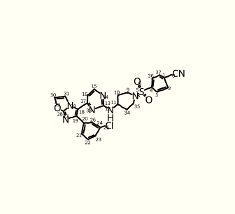 N#Cc1ccc(S(=O)(=O)N2CCC(Nc3nccc(-c4c(-c5cccc(Cl)c5)nc5occn45)n3)CC2)cc1